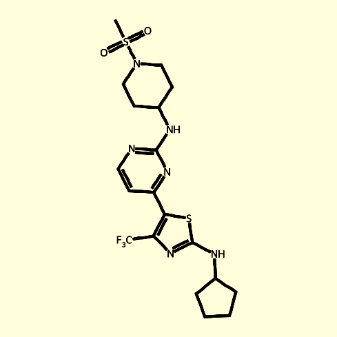 CS(=O)(=O)N1CCC(Nc2nccc(-c3sc(NC4CCCC4)nc3C(F)(F)F)n2)CC1